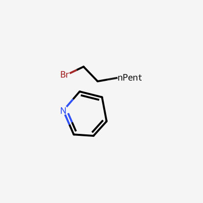 CCCCCCCBr.c1ccncc1